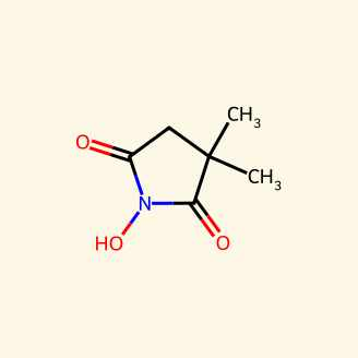 CC1(C)CC(=O)N(O)C1=O